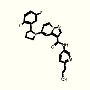 O=C(Nc1ccc(CCO)nc1)c1cnn2ccc(N3CCCC3c3cc(F)ccc3F)cc12